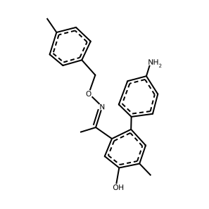 C/C(=N\OCc1ccc(C)cc1)c1cc(O)c(C)cc1-c1ccc(N)cc1